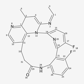 C/C=N\C1=CC(C)c2nccc3c2N1c1ccc(F)c(n1)-c1c(F)cccc1NC(=O)CC3